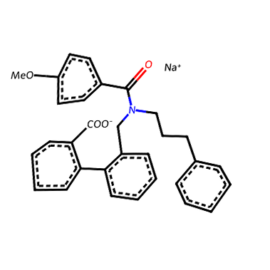 COc1ccc(C(=O)N(CCCc2ccccc2)Cc2ccccc2-c2ccccc2C(=O)[O-])cc1.[Na+]